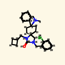 CN(C)[C@]1(c2ccccc2)CC[C@]2(CC1)CN(Cc1ccccc1Br)C(=O)N2CC1CCC1